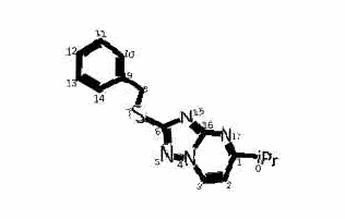 CC(C)c1ccn2nc(SCc3ccccc3)nc2n1